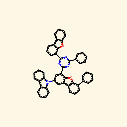 c1ccc(-c2nc(-c3cccc4c3oc3ccccc34)nc(-c3cc(-n4c5ccccc5c5ccccc54)cc4c3oc3c(-c5ccccc5)cccc34)n2)cc1